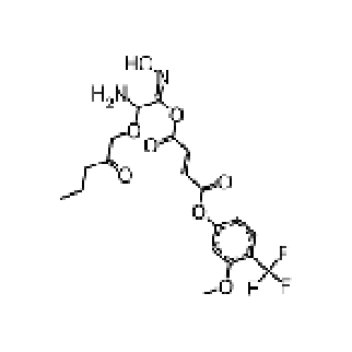 CCCC(=O)COC(N)/C(=N\O)OC(=O)/C=C/C(=O)Oc1ccc(C(F)(F)F)c(OC)c1